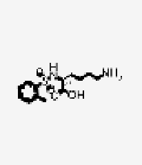 Cc1ccccc1S(=O)(=O)N[C@@H](CCCCN)C(=O)O